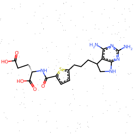 Nc1nc(N)c2c(n1)NCC2CCCc1ccc(C(=O)N[C@@H](CCC(=O)O)C(=O)O)s1